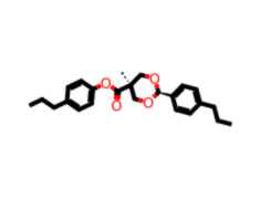 CCCc1ccc(OC(=O)[C@]2(C)CO[C@H](c3ccc(CCC)cc3)OC2)cc1